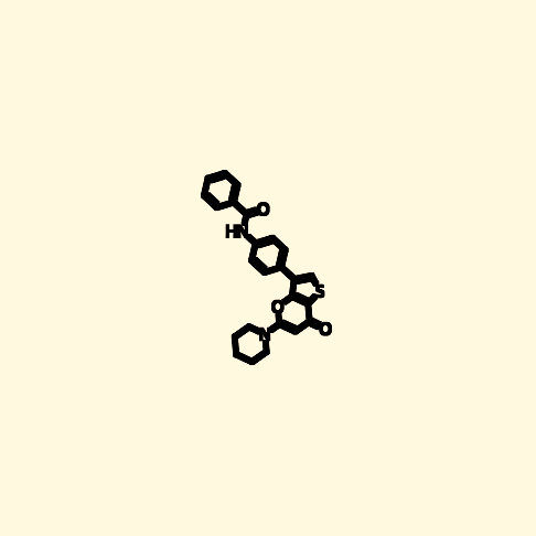 O=C(Nc1ccc(-c2csc3c(=O)cc(N4CCCCC4)oc23)cc1)c1ccccc1